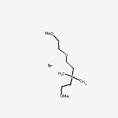 COCCOCC[N+](C)(C)CCOC.[Br-]